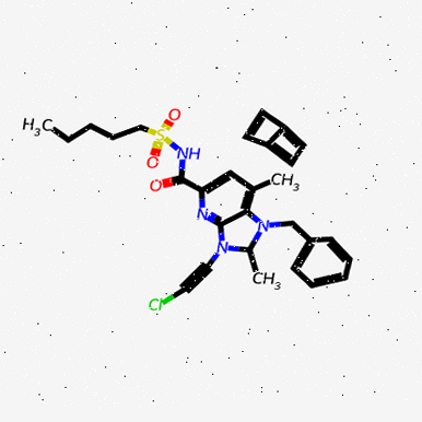 CCCCCS(=O)(=O)NC(=O)c1cc(C)c2c(n1)N(C#CCl)C(C)N2Cc1ccccc1.c1cc2ccc1-2